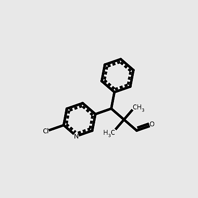 CC(C)(C=O)C(c1ccccc1)c1ccc(Cl)nc1